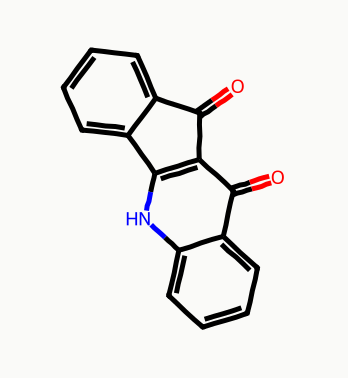 O=C1c2ccccc2-c2[nH]c3ccccc3c(=O)c21